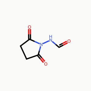 O=CNN1C(=O)CCC1=O